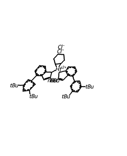 CCCCC1=Cc2c(-c3cc(C(C)(C)C)cc(C(C)(C)C)c3)cccc2[CH]1[Hf+2]1([CH]2C(CCCC)=Cc3c(-c4cc(C(C)(C)C)cc(C(C)(C)C)c4)cccc32)[CH]2CCCC[CH]21.[Cl-].[Cl-]